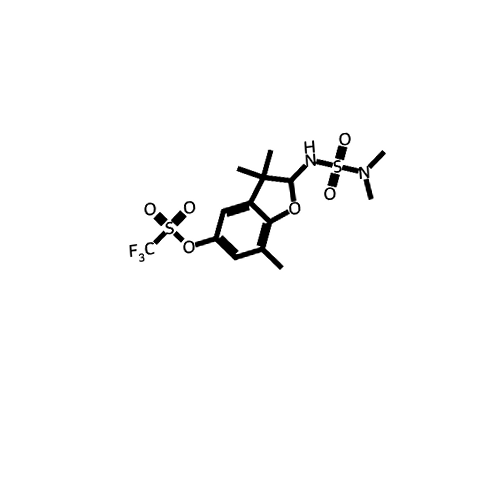 Cc1cc(OS(=O)(=O)C(F)(F)F)cc2c1OC(NS(=O)(=O)N(C)C)C2(C)C